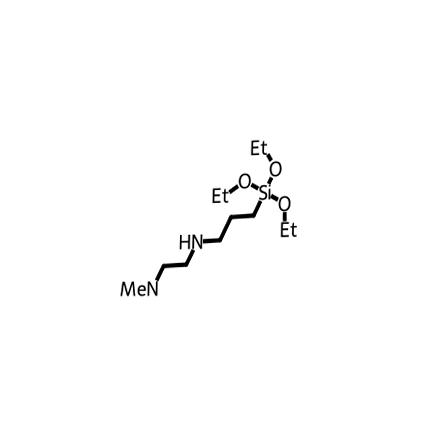 CCO[Si](CCCNCCNC)(OCC)OCC